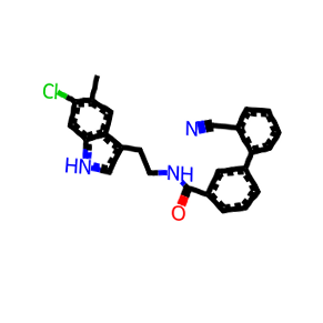 Cc1cc2c(CCNC(=O)c3cccc(-c4ccccc4C#N)c3)c[nH]c2cc1Cl